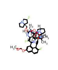 COCOc1cc(-c2nc(C#N)c3c(N4C[C@H]5CC[C@@H](C4)N5C(=O)OC(C)(C)C)nc(OC[C@@]45CCCN4C[C@H](F)C5)nc3c2F)c2c(C#C[Si](C(C)C)(C(C)C)C(C)C)c(F)ccc2c1